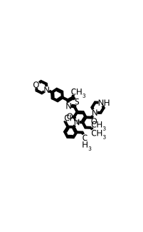 CCc1cccc(CC)c1-n1c(CC(C)C)c(C(=O)N2CCNCC2)cc(-c2nc(-c3ccc(N4CCOCC4)cc3)c(C)s2)c1=O